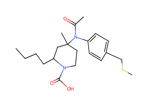 CCCCC1CC(C)(N(C(C)=O)c2ccc(CSC)cc2)CCN1C(=O)O